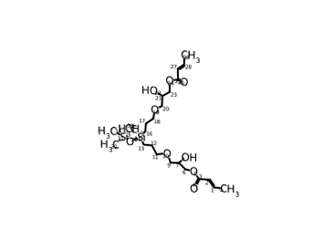 CC=CC(=O)OCC(O)COCCC[Si](C)(CCCOCC(O)COC(=O)C=CC)O[Si](C)(C)C